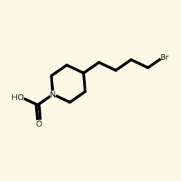 O=C(O)N1CCC(CCCCBr)CC1